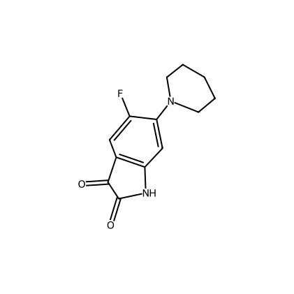 O=C1Nc2cc(N3CCCCC3)c(F)cc2C1=O